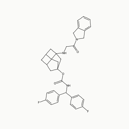 O=C(NC(c1ccc(F)cc1)c1ccc(F)cc1)OC12CC3CC4CC(NCC(=O)N5Cc6ccccc6C5)(C1)C34C2